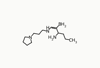 B/C(=C/NCCCN1CCCC1)C(N)CCC